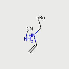 C=CNCCCCC.N#CN